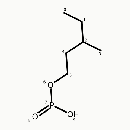 CCC(C)CCO[P](=O)O